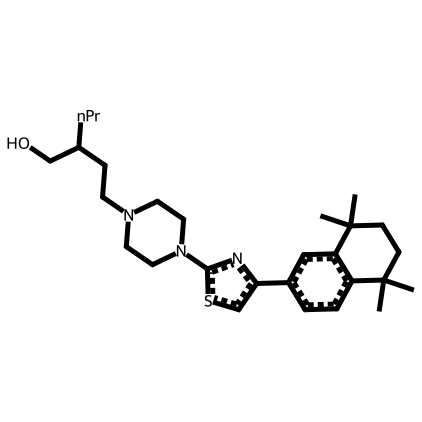 CCCC(CO)CCN1CCN(c2nc(-c3ccc4c(c3)C(C)(C)CCC4(C)C)cs2)CC1